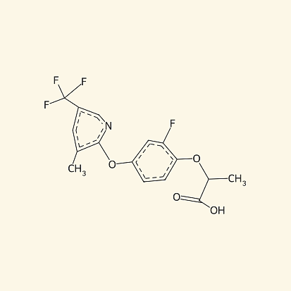 Cc1cc(C(F)(F)F)cnc1Oc1ccc(OC(C)C(=O)O)c(F)c1